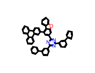 c1ccc(-c2cccc(-c3nc(-c4cccc(-c5ccccc5)c4)nc(-c4cc(-c5ccc6c7ccccc7c7ccccc7c6c5)c5c(c4)oc4ccccc45)n3)c2)cc1